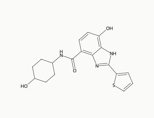 O=C(NC1CCC(O)CC1)c1ccc(O)c2[nH]c(-c3cccs3)nc12